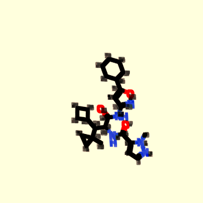 Cn1nccc1C(=O)N[C@H](C(=O)Nc1cc(C2CCCCC2)on1)C(C1CCC1)C1(C)CC1